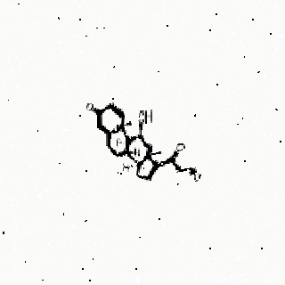 C[C@]12C=CC(=O)C=C1CC[C@H]1[C@@H]3CC=C(C(=O)CC=O)[C@@]3(C)C[C@H](O)[C@@]12F